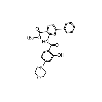 CC(C)(C)OC(=O)c1ccc(-c2ccccc2)cc1NC(=O)c1ccc(N2CCOCC2)cc1O